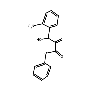 C=C(C(=O)Oc1ccccc1)C(O)c1ccccc1[N+](=O)[O-]